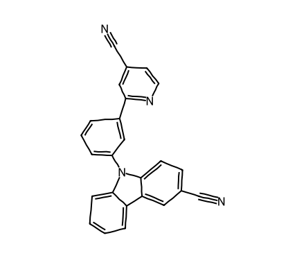 N#Cc1ccnc(-c2cccc(-n3c4ccccc4c4cc(C#N)ccc43)c2)c1